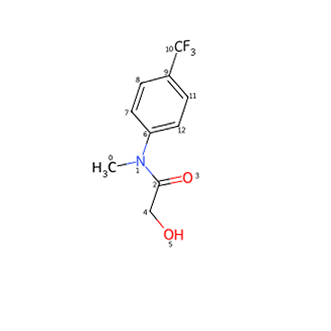 CN(C(=O)CO)c1ccc(C(F)(F)F)cc1